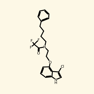 O=C(N(CCCCc1ccccc1)CCOc1cccc2[nH]cc(Cl)c12)C(F)(F)F